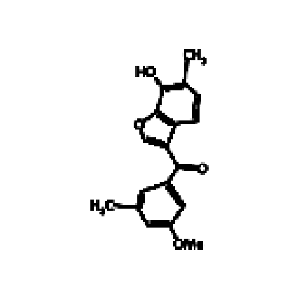 COc1cc(C)cc(C(=O)c2coc3c(O)c(C)ccc23)c1